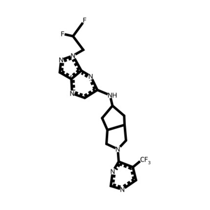 FC(F)Cn1ncc2ncc(NC3CC4CN(c5ncncc5C(F)(F)F)CC4C3)nc21